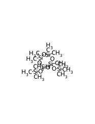 C[Si](C)(C)O[SiH]1O[Si](C)(C)O[Si](C)(C)O[Si](C)(O[Si](C)(C)C)O1